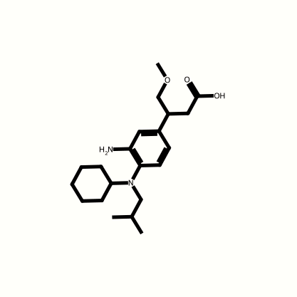 COCC(CC(=O)O)c1ccc(N(CC(C)C)C2CCCCC2)c(N)c1